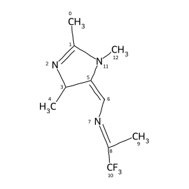 CC1=NC(C)/C(=C\N=C(/C)C(F)(F)F)N1C